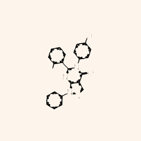 O=c1c2cnn(-c3ccccc3)c2nc(-c2ccccc2Cl)n1-c1ccc(Br)cc1